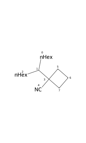 CCCCCCC(CCCCCC)C1(C#N)CCC1